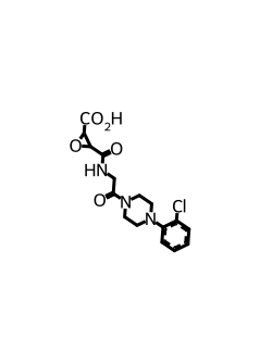 O=C(O)C1OC1C(=O)NCC(=O)N1CCN(c2ccccc2Cl)CC1